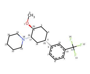 CO[C@H]1CC[C@H](c2cccc(C(F)(F)F)c2)C[C@@H]1N1CCCCC1